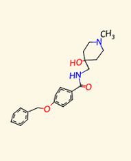 CN1CCC(O)(CNC(=O)c2ccc(OCc3ccccc3)cc2)CC1